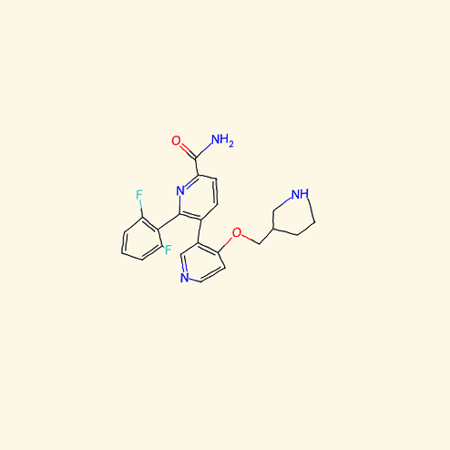 NC(=O)c1ccc(-c2cnccc2OCC2CCCNC2)c(-c2c(F)cccc2F)n1